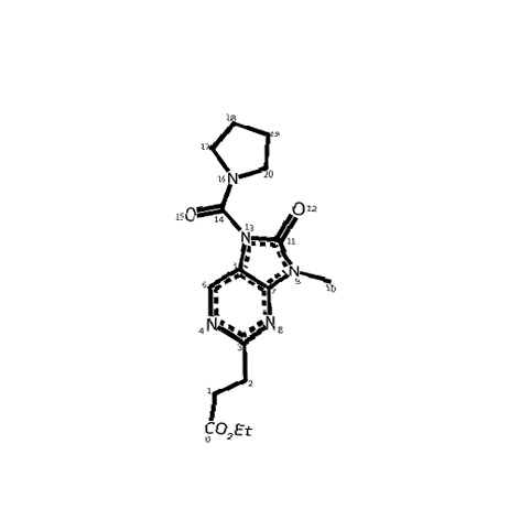 CCOC(=O)CCc1ncc2c(n1)n(C)c(=O)n2C(=O)N1CCCC1